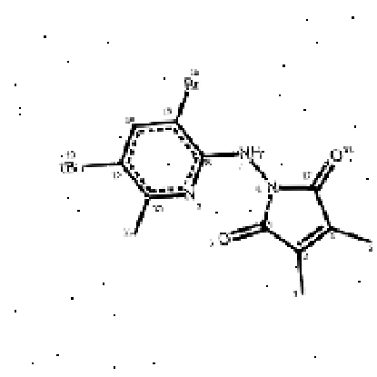 CC1=C(C)C(=O)N(Nc2nc(C)c(C(C)(C)C)cc2Br)C1=O